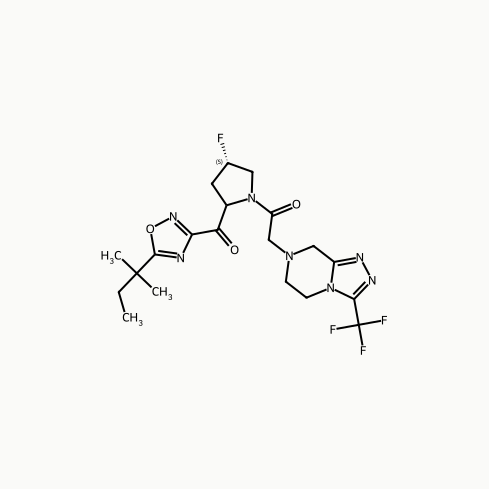 CCC(C)(C)c1nc(C(=O)C2C[C@H](F)CN2C(=O)CN2CCn3c(nnc3C(F)(F)F)C2)no1